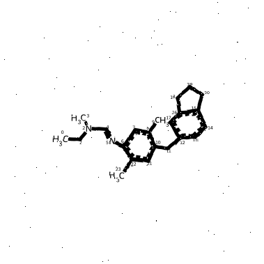 CCN(C)C=Nc1cc(C)c(Cc2ccc3c(c2)CCC3)cc1C